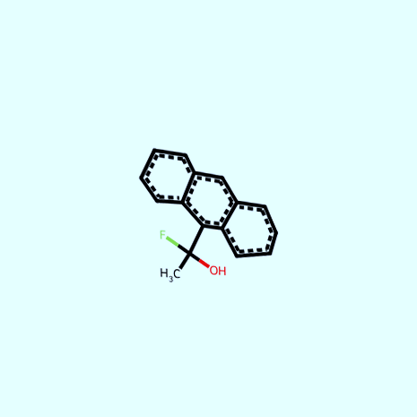 CC(O)(F)c1c2ccccc2cc2ccccc12